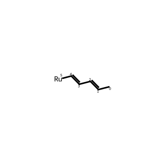 CC=CC=[CH][Ru]